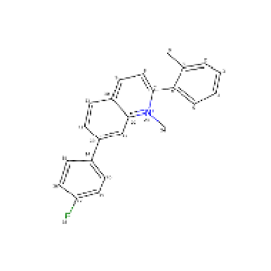 Cc1ccccc1-c1ccc2ccc(-c3ccc(F)cc3)cc2[n+]1C